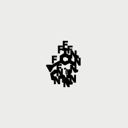 C[C@@H](c1ncnn1-c1ncccn1)N(C)c1ncnc2c(C(F)(F)F)cc(C(F)(F)C3CC3)cc12